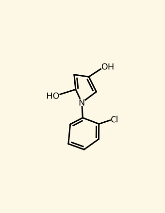 Oc1cc(O)n(-c2ccccc2Cl)c1